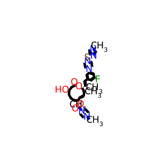 C/C(=C\c1cc(F)cc(N2CCN(Sc3cn(C)cn3)CC2)c1)[C@H]1OC(=O)C[C@H](O)CC[C@H](C)[C@@H](OC(=O)N2CCN(C)CC2)/C=C/[C@@H]1C